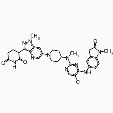 CN1C(=O)Cc2cc(Nc3nc(N(C)C4CCN(c5cnc6c(C7CCC(=O)NC7=O)nn(C)c6c5)CC4)ncc3Cl)ccc21